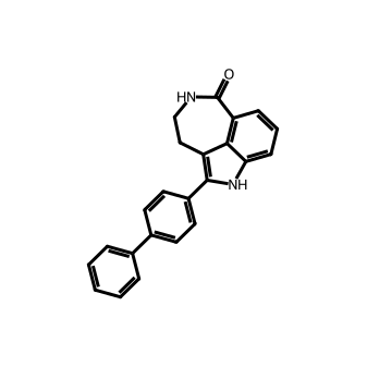 O=C1NCCc2c(-c3ccc(-c4ccccc4)cc3)[nH]c3cccc1c23